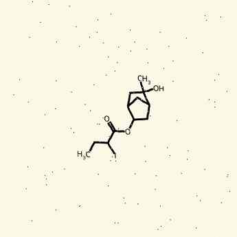 CCC(I)C(=O)OC1CC2CC1CC2(C)O